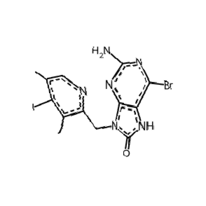 Cc1cnc(Cn2c(=O)[nH]c3c(Br)nc(N)nc32)c(C)c1I